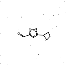 O=Cc1cc(C2CCC2)no1